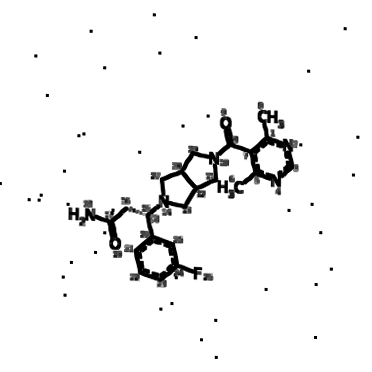 Cc1ncnc(C)c1C(=O)N1CC2CN([C@@H](CC(N)=O)c3cccc(F)c3)CC2C1